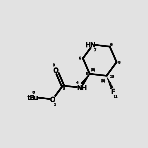 CC(C)(C)OC(=O)N[C@H]1CNCC[C@@H]1F